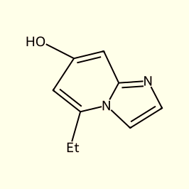 CCc1cc(O)cc2nccn12